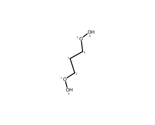 OOCCCOO